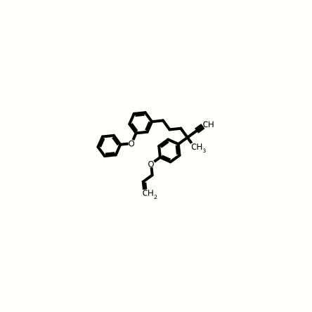 C#CC(C)(CCCc1cccc(Oc2ccccc2)c1)c1ccc(OCC=C)cc1